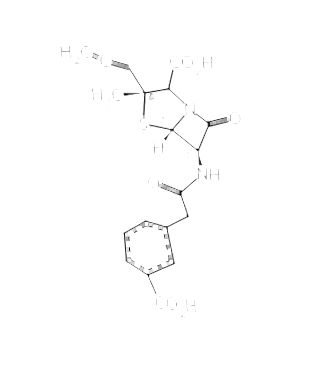 C=C=C[C@@]1(C)S[C@H]2[C@H](NC(=O)Cc3cccc(C(=O)O)c3)C(=O)N2C1C(=O)O